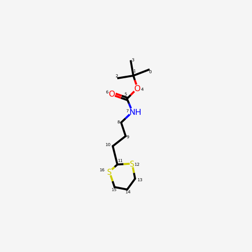 CC(C)(C)OC(=O)NCCCC1SCCCS1